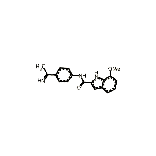 COc1cccc2cc(C(=O)Nc3ccc(C(C)=N)cc3)[nH]c12